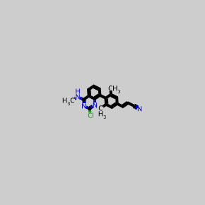 CNc1nc(Cl)nc2c(-c3c(C)cc(/C=C/C#N)cc3C)cccc12